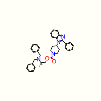 C[C@@H](COC(=O)N1CCC(n2c(-c3ccccc3)nc3ccccc32)CC1)N(Cc1ccccc1)Cc1ccccc1